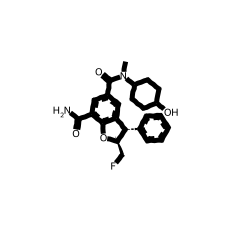 CN(C(=O)c1cc(C(N)=O)c2c(c1)[C@H](c1ccccc1)[C@@H](CF)O2)C1CCC(O)CC1